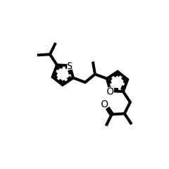 CC(=O)C(C)Cc1ccc(C(C)Cc2ccc(C(C)C)s2)o1